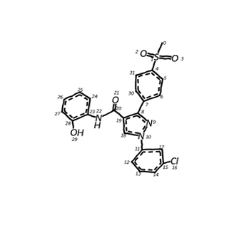 CS(=O)(=O)c1ccc(-c2nn(-c3cccc(Cl)c3)cc2C(=O)Nc2ccccc2O)cc1